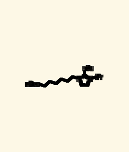 CCCCCCCCCCCCCCCC[n+]1ccn(C(C)C)c1CCCC